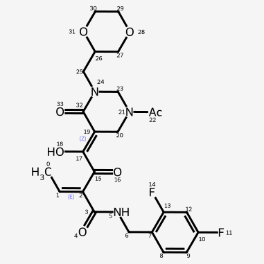 C/C=C(/C(=O)NCc1ccc(F)cc1F)C(=O)/C(O)=C1\CN(C(C)=O)CN(CC2COCCO2)C1=O